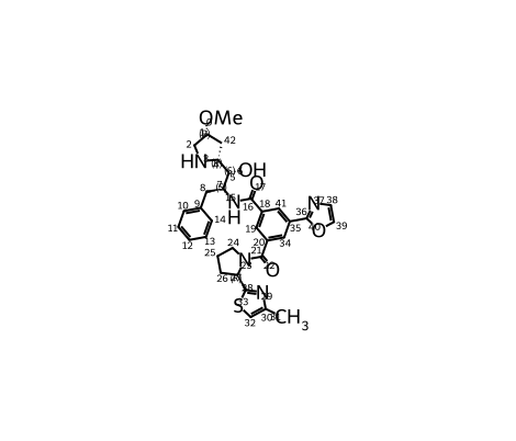 CO[C@H]1CN[C@@H]([C@H](O)[C@H](Cc2ccccc2)NC(=O)c2cc(C(=O)N3CCC[C@@H]3c3nc(C)cs3)cc(-c3ncco3)c2)C1